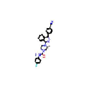 C[C@H]1CN(C(=O)Nc2ccc(F)cc2)CCN1c1nnc(-c2ccc(C#N)cc2)c2ccccc12